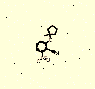 CC1(Oc2cccc([N+](=O)[O-])c2C#N)CCCC1